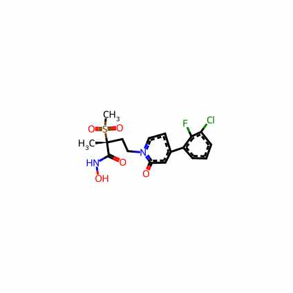 C[C@@](CCn1ccc(-c2cccc(Cl)c2F)cc1=O)(C(=O)NO)S(C)(=O)=O